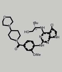 COc1cc(C(=O)N2CCC(N3CCOCC3)CC2)ccc1Nc1nc(N[C@H](CO)C(C)(C)C)c2c(Cl)c[nH]c2n1